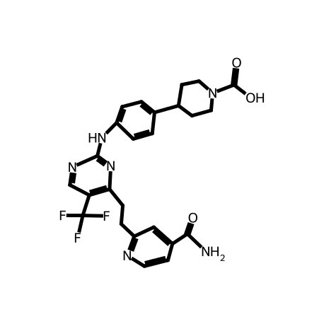 NC(=O)c1ccnc(CCc2nc(Nc3ccc(C4CCN(C(=O)O)CC4)cc3)ncc2C(F)(F)F)c1